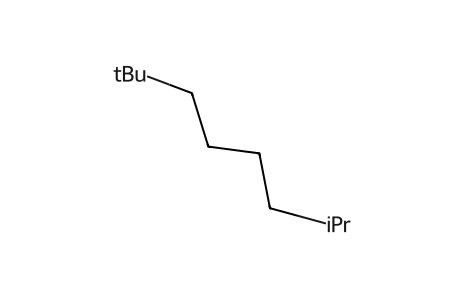 CC(C)CCCCC(C)(C)C